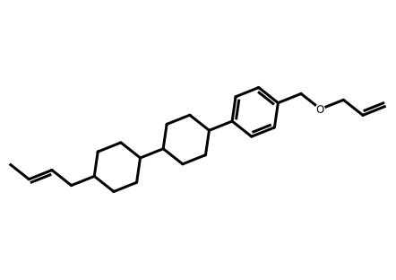 C=CCOCc1ccc(C2CCC(C3CCC(CC=CC)CC3)CC2)cc1